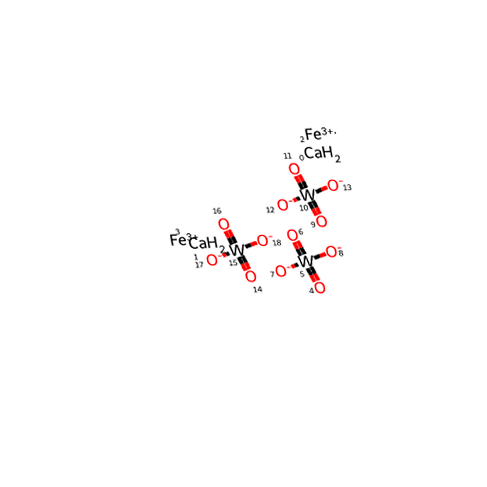 [CaH2].[CaH2].[Fe+3].[Fe+3].[O]=[W](=[O])([O-])[O-].[O]=[W](=[O])([O-])[O-].[O]=[W](=[O])([O-])[O-]